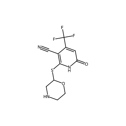 N#Cc1c(C(F)(F)F)cc(=O)[nH]c1SC1CNCCO1